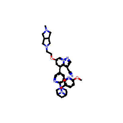 COc1ccc(CN2C3CC2CN(c2ccc(-c4cc(OCCN5CC6CN(C)CC6C5)cn5ncc(C#N)c45)cn2)C3)cn1